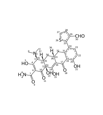 CN(C)[C@@H]1C(O)=C(C(N)=O)C(=O)[C@@]2(O)C(O)=C3C(=O)c4c(O)ccc(-c5sccc5C=O)c4C[C@H]3C[C@@H]12